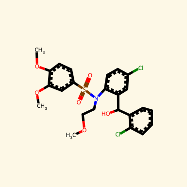 COCCN(c1ccc(Cl)cc1C(O)c1ccccc1Cl)S(=O)(=O)c1ccc(OC)c(OC)c1